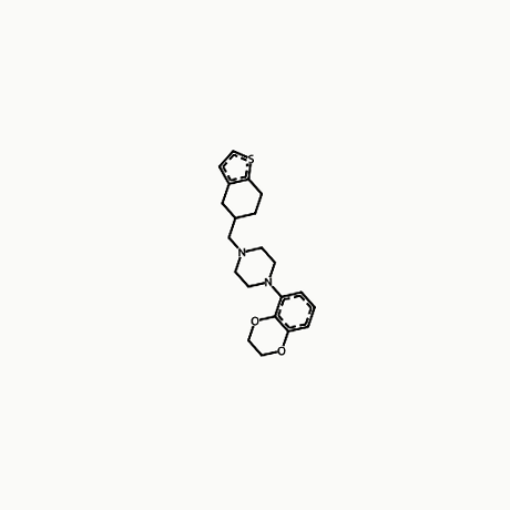 c1cc2c(c(N3CCN(CC4CCc5sccc5C4)CC3)c1)OCCO2